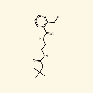 CC(C)(C)OC(=O)NCCNC(=O)c1ccccc1CBr